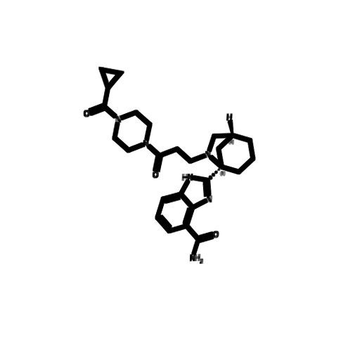 NC(=O)c1cccc2[nH]c([C@]34CCC[C@@H](CN3CCC(=O)N3CCN(C(=O)C5CC5)CC3)C4)nc12